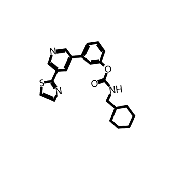 O=C(NCC1CCCCC1)Oc1cccc(-c2cncc(-c3nccs3)c2)c1